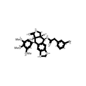 COc1cc([C@@H]2c3cc4c(cc3[C@H](OC(=O)Cc3cccc(Br)c3)[C@H]3COC(=O)[C@@H]23)OCO4)cc(OC)c1OC